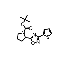 CC(C)(C)OC(=O)N1CCCC1c1nc(-c2cccs2)no1